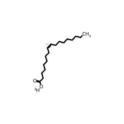 [2H]OC(=O)CCCCCCC/C=C\CCCCCCCC